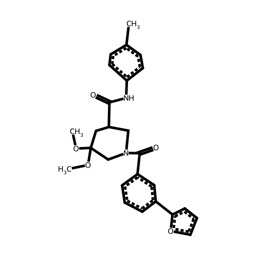 COC1(OC)CC(C(=O)Nc2ccc(C)cc2)CN(C(=O)c2cccc(-c3ccco3)c2)C1